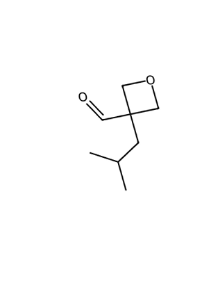 CC(C)CC1(C=O)COC1